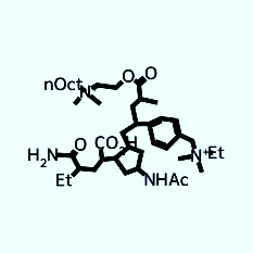 CCCCCCCC[N+](C)(C)CCOC(=O)C(C)CC(CC1CC(NC(C)=O)CC1C(CC(CC)C(N)=O)C(=O)O)c1ccc(C[N+](C)(C)CC)cc1